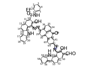 CCc1ccccc1NC(=O)c1cc2ccc3c4ccccc4[nH]c3c2c(N=Nc2ccc3c4c(cccc24)C(=O)c2cc(/N=N/c4c(O)c(C=O)cc5ccc6c7ccccc7[nH]c6c45)ccc2-3)c1O